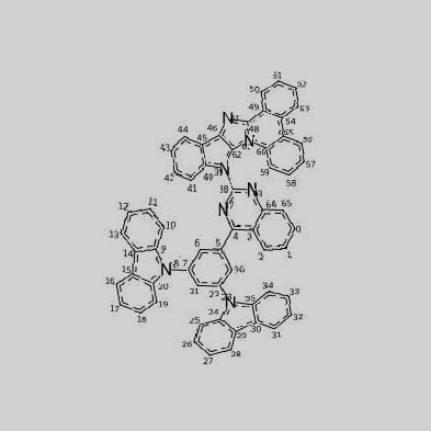 c1ccc2c(-c3cc(-n4c5ccccc5c5ccccc54)cc(-n4c5ccccc5c5ccccc54)c3)nc(-n3c4ccccc4c4nc5c6ccccc6c6ccccc6n5c43)nc2c1